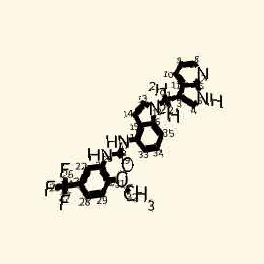 [2H]C([2H])(c1c[nH]c2ncccc12)n1ccc2c(NC(=O)Nc3cc(C(F)(F)F)ccc3OC)cccc21